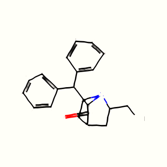 CCC1CC2CCN1C(C(c1ccccc1)c1ccccc1)C2=O